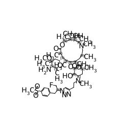 CC[C@H]1OC(=O)[C@H](C)[C@@H](C2C[C@@](C)(OC)[C@@H](N)[C@H](C)O2)[C@H](C)[C@@H](O[C@@H]2O[C@H](C)C[C@H](N(C)CCc3cn([C@H](CF)Cc4ccc(S(C)(=O)=O)cc4)nn3)[C@H]2O)[C@](C)(O)C[C@@H](C)CN(C)[C@H](C)[C@@H](O)[C@]1(C)O